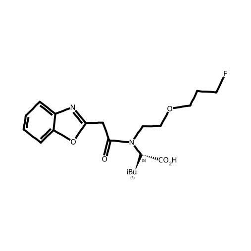 CC[C@H](C)[C@@H](C(=O)O)N(CCOCCCF)C(=O)Cc1nc2ccccc2o1